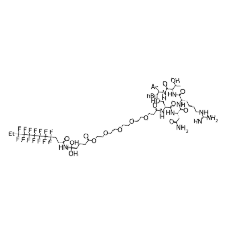 CCCC[C@H](NC(=O)[C@@H](NC(=O)[C@H](CCCCNC(=N)N)NC(=O)[C@H](CC(N)=O)NC(=O)[C@H](CO)NC(=O)CCOCCOCCOCCOCCOC(=O)CCCC(O)(O)NC(=O)CCC(F)(F)C(F)(F)C(F)(F)C(F)(F)C(F)(F)C(F)(F)C(F)(F)CC)C(C)O)C(C)=O